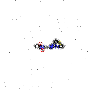 O=C1CC2(CCCCC2)C(=O)N1CCCCN1CCN(C2=Nc3ccccc3Sc3ccccc32)CC1